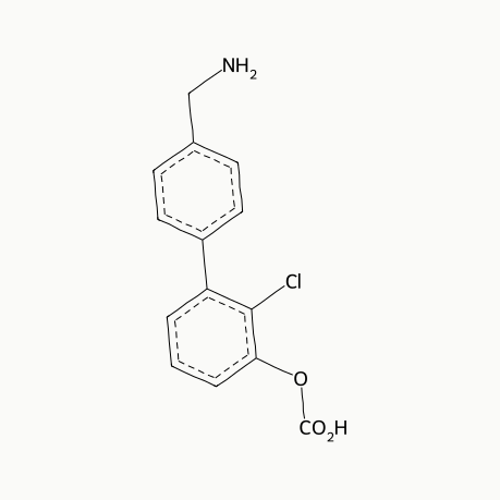 NCc1ccc(-c2cccc(OC(=O)O)c2Cl)cc1